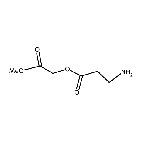 COC(=O)COC(=O)CCN